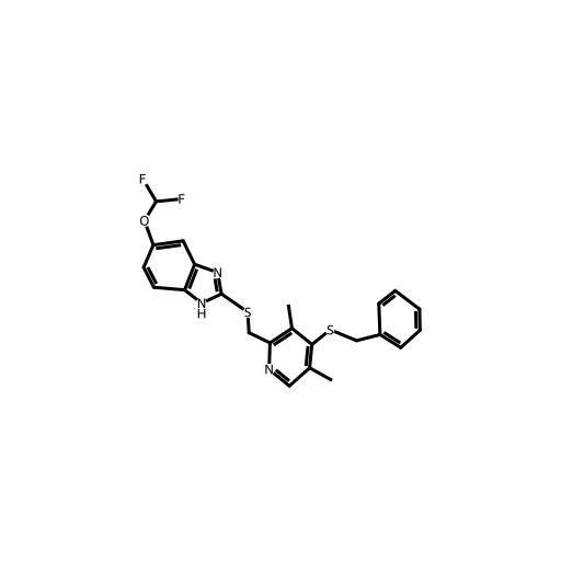 Cc1cnc(CSc2nc3cc(OC(F)F)ccc3[nH]2)c(C)c1SCc1ccccc1